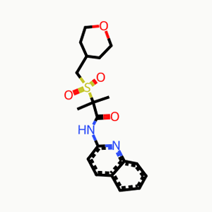 CC(C)(C(=O)Nc1ccc2ccccc2n1)S(=O)(=O)CC1CCOCC1